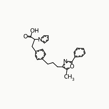 Cc1oc(-c2ccccc2)nc1CCCc1ccc(CC(C(=O)O)n2cccc2)cc1